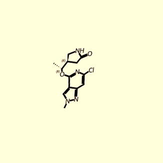 C[C@@H](Oc1nc(Cl)cc2nn(C)cc12)[C@H]1CNC(=O)C1